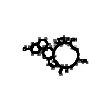 C[C@H]1C/C=C/[C@H](O)[C@@H]2CC[C@H]2CN2C[C@@]3(CCCc4cc(Cl)ccc43)COc3ccc(cc32)C(=O)NSC1